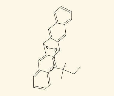 CCC(C)(C)C(=O)N1SC2c3cc4ccccc4cc3C1c1cc3ccccc3cc12